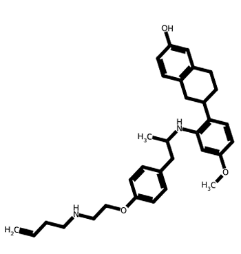 C=CCCNCCOc1ccc(CC(C)Nc2cc(OC)ccc2C2CCc3cc(O)ccc3C2)cc1